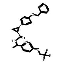 CC(NC(=O)[C@H]1C[C@@H]1c1ccc(OCc2ccccc2)cc1)c1ccc(OCC(F)(F)F)cn1